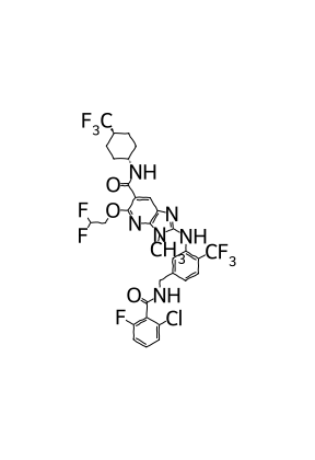 Cn1c(Nc2cc(CNC(=O)c3c(F)cccc3Cl)ccc2C(F)(F)F)nc2cc(C(=O)N[C@H]3CC[C@H](C(F)(F)F)CC3)c(OCC(F)F)nc21